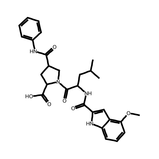 COc1cccc2[nH]c(C(=O)NC(CC(C)C)C(=O)N3CC(C(=O)Nc4ccccc4)CC3C(=O)O)cc12